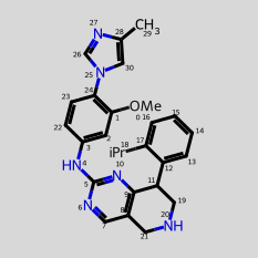 COc1cc(Nc2ncc3c(n2)C(c2ccccc2C(C)C)CNC3)ccc1-n1cnc(C)c1